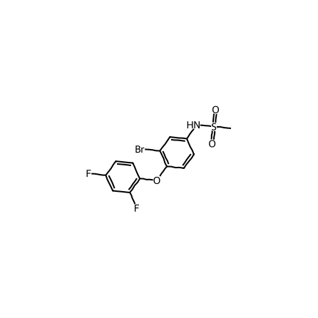 CS(=O)(=O)Nc1ccc(Oc2ccc(F)cc2F)c(Br)c1